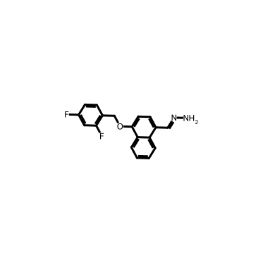 NN=Cc1ccc(OCc2ccc(F)cc2F)c2ccccc12